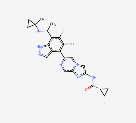 CC(NC1(C#N)CC1)c1c(F)c(Cl)c(-c2cn3cc(NC(=O)[C@@H]4C[C@@H]4F)nc3cn2)c2cn[nH]c12